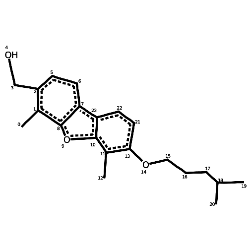 Cc1c(CO)ccc2c1oc1c(C)c(OCCCC(C)C)ccc12